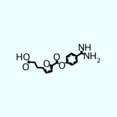 N=C(N)c1ccc(OC(=O)c2ccc(CCC(=O)O)o2)cc1